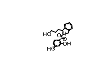 O=S(=O)(c1ccc(O)cc1O)N1Cc2ccccc2C1CCCO